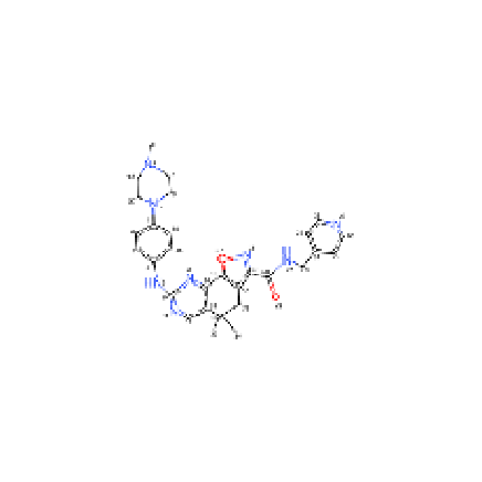 CN1CCN(c2ccc(Nc3ncc4c(n3)-c3onc(C(=O)NCc5ccncc5)c3CC4(C)C)cc2)CC1